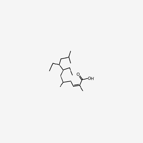 CCC(CC(C)C)C(CC)CC(C)CC=C(C)C(=O)O